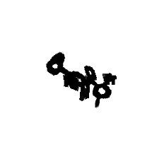 CC(C)[C@@H]1CC[C@@H](C)C[C@H]1C(=O)NCC(N)c1ccccc1